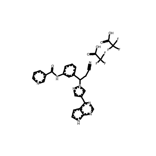 N#CCC(c1cccc(NC(=O)c2cccnc2)c1)n1cc(-c2ncnc3[nH]ccc23)cn1.O=C(O)C(F)(F)F.O=C(O)C(F)(F)F